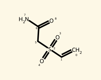 C=CS(=O)(=O)CC(N)=O